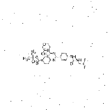 C[C@H]1COCCN1c1nc(-c2ccc(NC(=O)NCC(F)F)cc2)nc2c1CN(C(=O)OC(C)(C)C)CC2